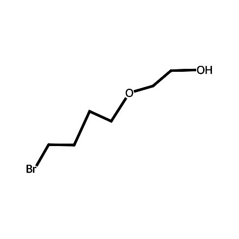 OCCOCCCCBr